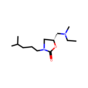 CCN(C)C[C@H]1CN(CCCC(C)C)C(=O)O1